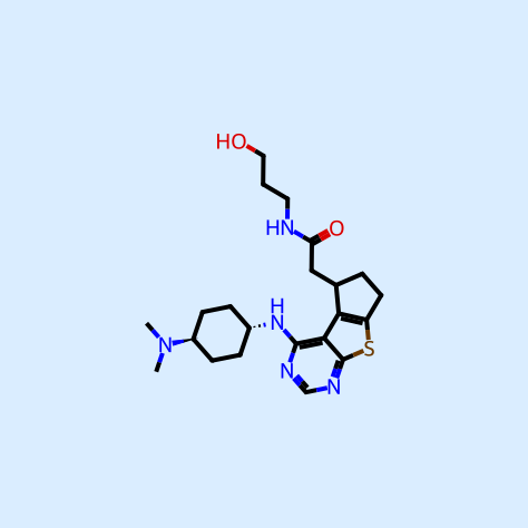 CN(C)[C@H]1CC[C@H](Nc2ncnc3sc4c(c23)C(CC(=O)NCCCO)CC4)CC1